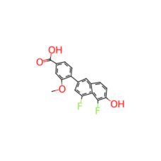 COc1cc(C(=O)O)ccc1-c1cc(F)c2c(F)c(O)ccc2c1